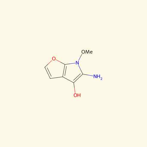 COn1c(N)c(O)c2ccoc21